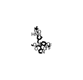 CCOC(=O)c1c(-c2cccnc2OC)c2cc(OC(F)(F)F)ccc2n1Cc1ccnc(NC(=O)OC(C)(C)C)c1